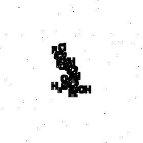 CCC(O)[C@H]1CN(C)C(=O)c2c3c(nn2C1)CCN(C(=O)Nc1cc(Cl)c(F)cc1F)C3